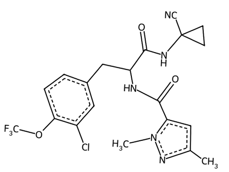 Cc1cc(C(=O)NC(Cc2ccc(OC(F)(F)F)c(Cl)c2)C(=O)NC2(C#N)CC2)n(C)n1